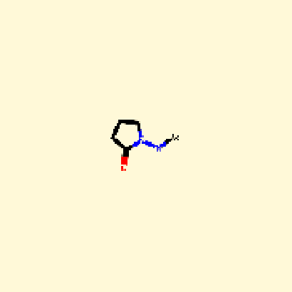 CC(=O)[N]N1CCCC1=O